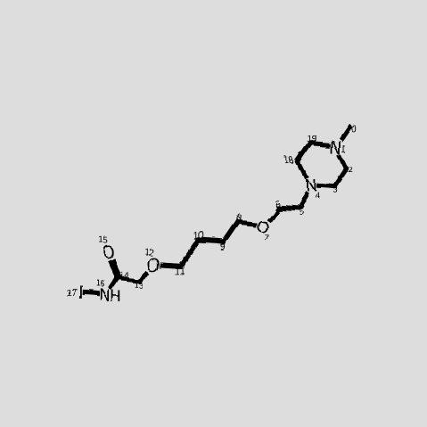 CN1CCN(CCOCCCCOCC(=O)NI)CC1